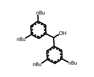 CCCCc1cc(CCCC)cc(C(O)c2cc(CCCC)cc(CCCC)c2)c1